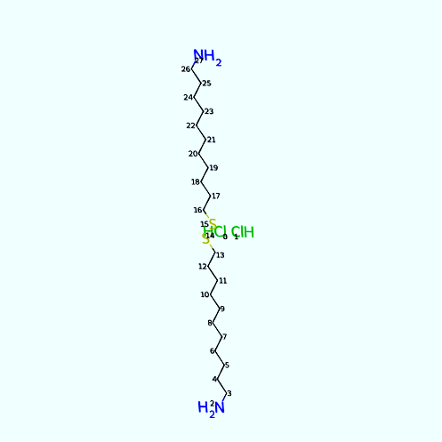 Cl.Cl.NCCCCCCCCCCCSSCCCCCCCCCCCN